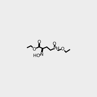 CCOC[PH](=O)CCC(=NO)C(=O)OCC